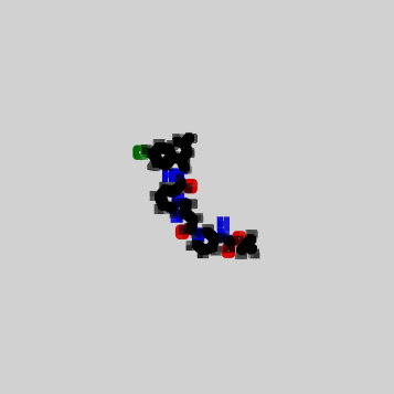 CC(C)CC(CNC(=O)c1cccc2nc(CC(=O)N3CCC[C@@H](NC(=O)OC(C)(C)C)C3)cn12)c1ccc(Cl)cc1